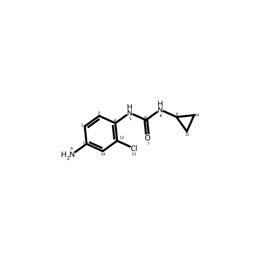 Nc1ccc(NC(=O)NC2CC2)c(Cl)c1